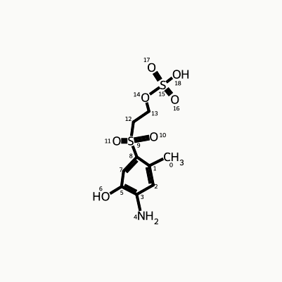 Cc1cc(N)c(O)cc1S(=O)(=O)CCOS(=O)(=O)O